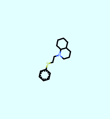 c1ccc(SCCN2CCCC3CCCCC32)cc1